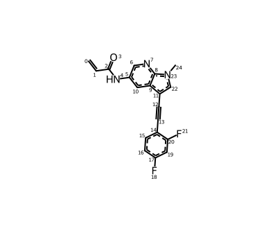 C=CC(=O)Nc1cnc2c(c1)c(C#Cc1ccc(F)cc1F)cn2C